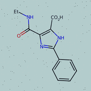 CCNC(=O)c1nc(-c2ccccc2)[nH]c1C(=O)O